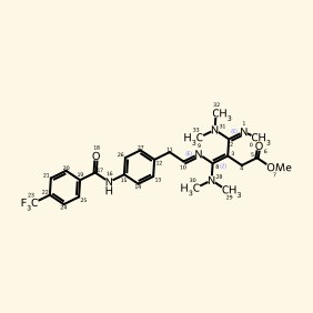 C\N=C(/C(CC(=O)OC)=C(\N=C\Cc1ccc(NC(=O)c2ccc(C(F)(F)F)cc2)cc1)N(C)C)N(C)C